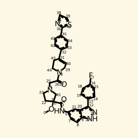 CO[C@@]1(C(=O)Nc2ccc3[nH]nc(-c4ccc(F)cc4)c3c2)CCN(CC(=O)N2CC=C(c3ccc(-c4nccs4)cc3)CC2)C1